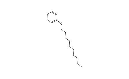 CCCCCCCCCCOc1cc[c]cc1